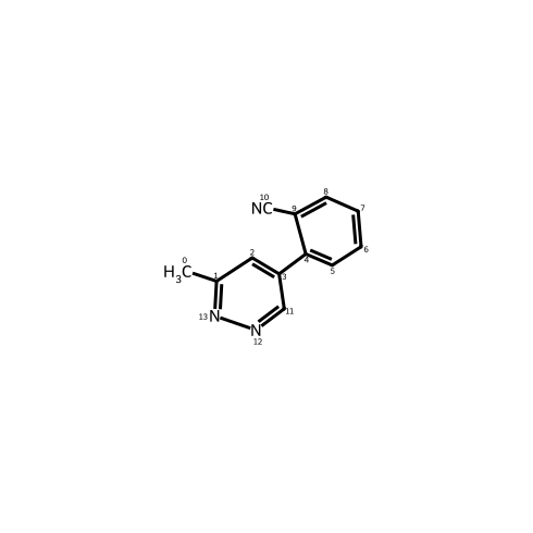 Cc1cc(-c2ccccc2C#N)cnn1